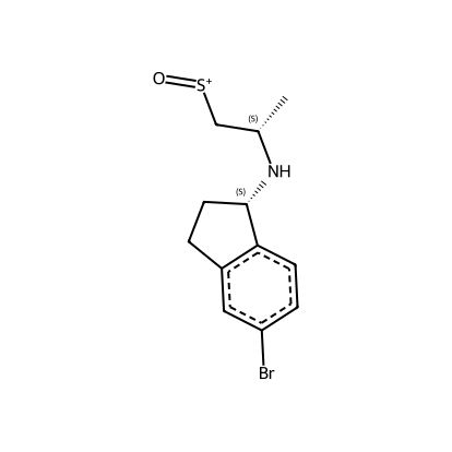 C[C@@H](C[S+]=O)N[C@H]1CCc2cc(Br)ccc21